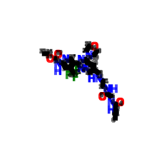 CC#CC(=O)NCC(=O)NCCNCc1cc2c(N3CCOCC3)nc(-c3cnc(NC(=O)OCC)cc3C(F)(F)F)nn2c1